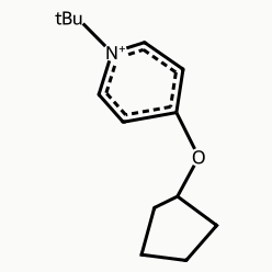 CC(C)(C)[n+]1ccc(OC2CCCC2)cc1